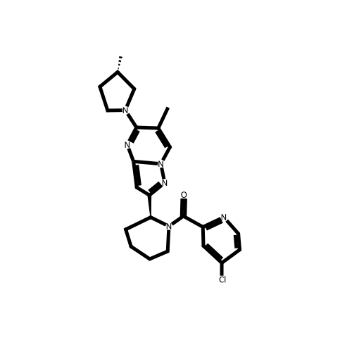 Cc1cn2nc([C@@H]3CCCCN3C(=O)c3cc(Cl)ccn3)cc2nc1N1CC[C@H](C)C1